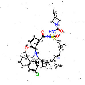 CCC1CN(C(=O)N[S@@]2(=O)=NC(=O)c3ccc4c(c3)N(C[C@@H]3CC[C@H]3[C@@H](OC)/C=C/C[C@H](C)C2)C[C@@]2(CCCc3cc(Cl)ccc32)CO4)C1